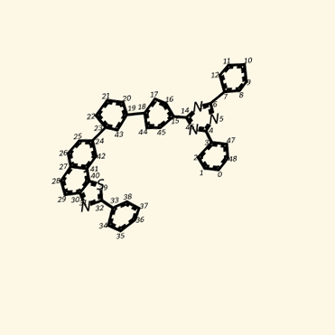 c1ccc(-c2nc(-c3ccccc3)nc(-c3ccc(-c4cccc(-c5ccc6ccc7nc(-c8ccccc8)sc7c6c5)c4)cc3)n2)cc1